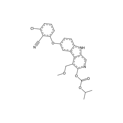 COCc1c(OC(=O)OC(C)C)ncc2[nH]c3ccc(Oc4cccc(Cl)c4C#N)cc3c12